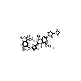 COc1nc(N2CCC(N3CCC3)C2)nc(OC)c1NC(=O)c1ccc(Oc2cc([Si](C)(C)C)ccc2C)o1